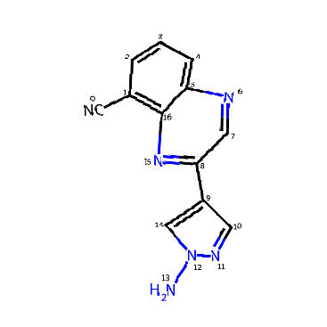 N#Cc1cccc2ncc(-c3cnn(N)c3)nc12